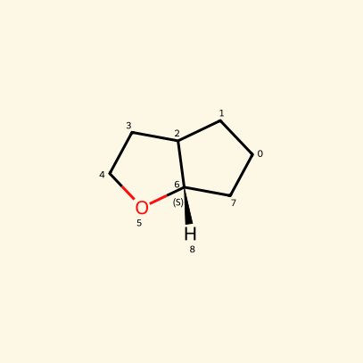 C1CC2CCO[C@H]2C1